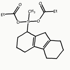 CCC(=O)[O][Ti]([CH3])([O]C(=O)CC)[CH]1CCCC2=C1CC1=C2CCCC1